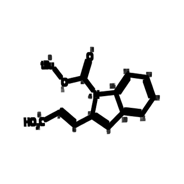 CC(C)(C)OC(=O)n1c(C=CC(=O)O)cc2ccccc21